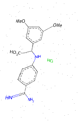 COc1cc(OC)cc(C(Nc2ccc(C(=N)N)cc2)C(=O)O)c1.Cl